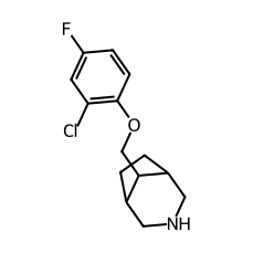 Fc1ccc(OCC2C3CCC2CNC3)c(Cl)c1